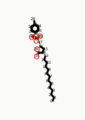 CCCCCCCCCCCCCC[C@H]1C[C@@H](COS(=O)(=O)c2ccc(C)cc2)OC1=O